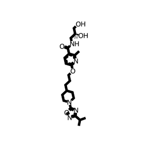 Cc1nc(OCCCC2CCN(c3nc(C(C)C)no3)CC2)ccc1C(=O)NC[C@H](O)CO